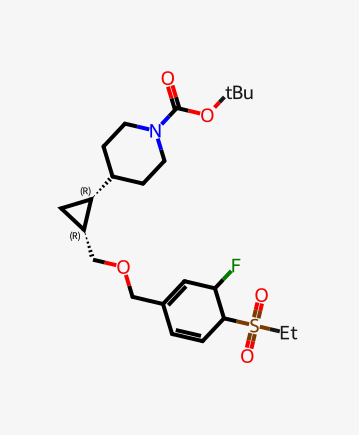 CCS(=O)(=O)C1C=CC(COC[C@@H]2C[C@@H]2C2CCN(C(=O)OC(C)(C)C)CC2)=CC1F